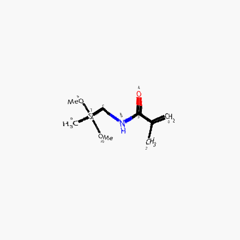 C=C(C)C(=O)NC[Si](C)(OC)OC